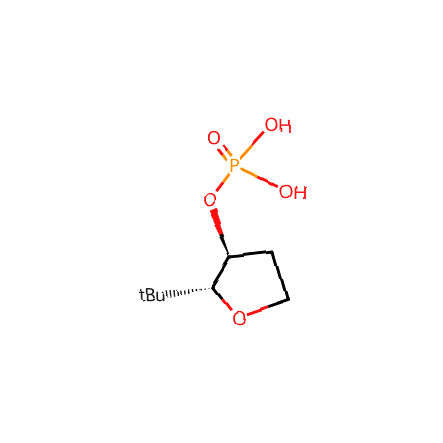 CC(C)(C)[C@H]1OCC[C@@H]1OP(=O)(O)O